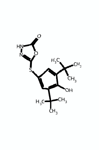 CC(C)(C)c1cc(Sc2n[nH]c(=O)o2)cc(C(C)(C)C)c1O